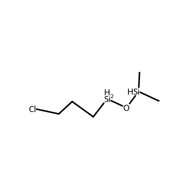 C[SiH](C)O[SiH2]CCCCl